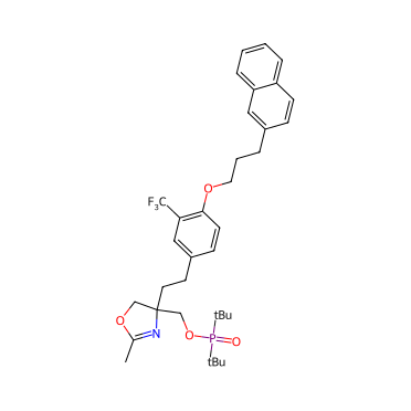 CC1=NC(CCc2ccc(OCCCc3ccc4ccccc4c3)c(C(F)(F)F)c2)(COP(=O)(C(C)(C)C)C(C)(C)C)CO1